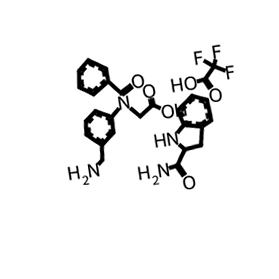 NC(=O)C1Cc2ccccc2N1.NCc1cccc(N(CC(=O)O)C(=O)c2ccccc2)c1.O=C(O)C(F)(F)F